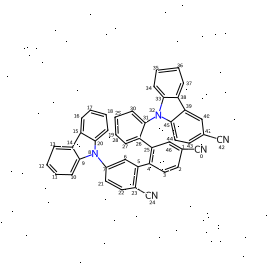 N#Cc1ccc(-c2cc(-n3c4ccccc4c4ccccc43)ccc2C#N)c(-c2ccccc2-n2c3ccccc3c3cc(C#N)ccc32)c1